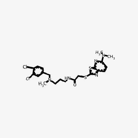 CN(CCCNC(=O)CSc1nc2ccc(N(C)C)nc2s1)Cc1ccc(Cl)c(Cl)c1